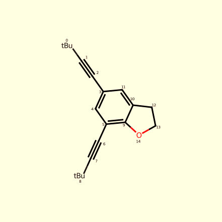 CC(C)(C)C#Cc1cc(C#CC(C)(C)C)c2c(c1)CCO2